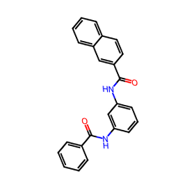 O=C(Nc1cccc(NC(=O)c2ccc3ccccc3c2)c1)c1ccccc1